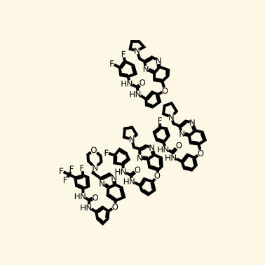 O=C(Nc1ccc(F)cc1)Nc1cccc(Oc2ccc3ncc(CN4CCCC4)nc3c2)c1.O=C(Nc1cccc(F)c1)Nc1cccc(Oc2ccc3ncc(CN4CCCC4)nc3c2)c1.O=C(Nc1cccc(Oc2ccc3ncc(CN4CCCC4)nc3c2)c1)Nc1ccc(F)c(F)c1.O=C(Nc1cccc(Oc2ccc3ncc(CN4CCOCC4)nc3c2)c1)Nc1ccc(F)c(C(F)(F)F)c1